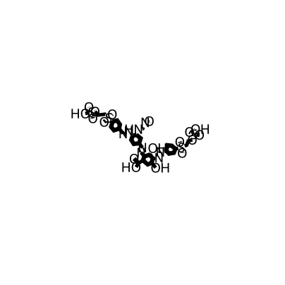 O=NCNc1cc(N=Nc2c(C(=O)O)cc(O)c(N=Nc3ccc(S(=O)(=O)CCOS(=O)(=O)O)cc3)c2O)ccc1N=Nc1ccc(S(=O)(=O)CCOS(=O)(=O)O)cc1